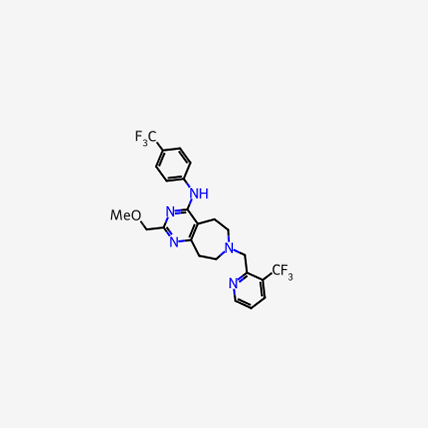 COCc1nc2c(c(Nc3ccc(C(F)(F)F)cc3)n1)CCN(Cc1ncccc1C(F)(F)F)CC2